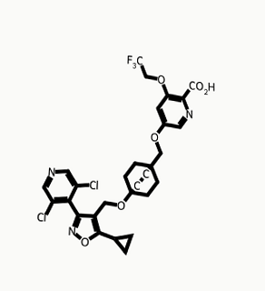 O=C(O)c1ncc(OCC23CCC(OCc4c(-c5c(Cl)cncc5Cl)noc4C4CC4)(CC2)CC3)cc1OCC(F)(F)F